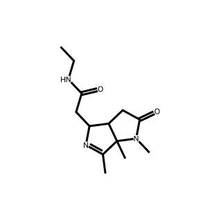 CCNC(=O)CC1N=C(C)C2(C)C1CC(=O)N2C